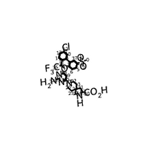 CS(=O)(=O)c1cccc(-c2cc(Cl)ccc2C(Oc2cc(N3CCC4(CC3)CN[C@H](C(=O)O)C4)nc(N)n2)C(F)(F)F)c1